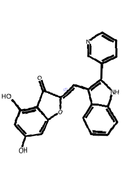 O=C1/C(=C/c2c(-c3cccnc3)[nH]c3ccccc23)Oc2cc(O)cc(O)c21